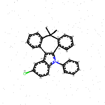 CC1(C)c2ccccc2-c2c(n(-c3ccccc3)c3ccc(Cl)cc23)-c2ccccc21